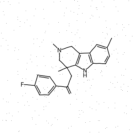 C=C(CC1(C)CN(C)Cc2c1[nH]c1ccc(C)cc21)c1ccc(F)cc1